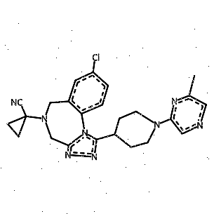 Cc1cncc(N2CCC(c3nnc4n3-c3ccc(Cl)cc3CN(C3(C#N)CC3)C4)CC2)n1